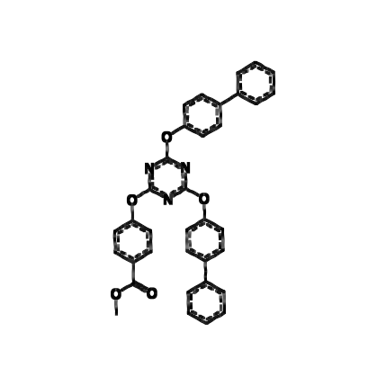 COC(=O)c1ccc(Oc2nc(Oc3ccc(-c4ccccc4)cc3)nc(Oc3ccc(-c4ccccc4)cc3)n2)cc1